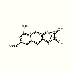 COc1cc(O)c2cc3c(cc2c1)=C1CC=3C(=O)C1=O